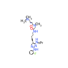 CCCNc1nc(Nc2ccccc2F)ncc1C#CCCCNC(=O)CN(C)C(=O)/C=C/CN(C)C